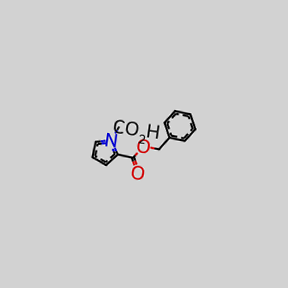 O=C(OCc1ccccc1)c1cccn1C(=O)O